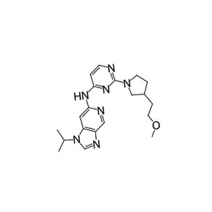 COCCC1CCN(c2nccc(Nc3cc4c(cn3)ncn4C(C)C)n2)C1